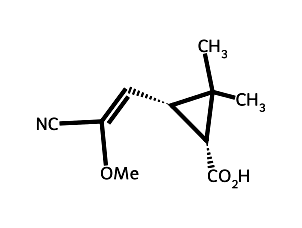 CO/C(C#N)=C\[C@H]1[C@@H](C(=O)O)C1(C)C